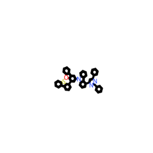 c1ccc(-c2cc(-c3cccc4c3c3ccccc3n4-c3cc(-c4cccc5c4sc4ccccc45)c4oc5ccccc5c4c3)nc(-c3ccccc3)n2)cc1